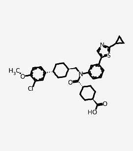 COc1ccc([C@H]2CC[C@H](CN(c3cccc(-c4cnc(C5CC5)s4)c3)C(=O)[C@H]3CC[C@H](C(=O)O)CC3)CC2)cc1Cl